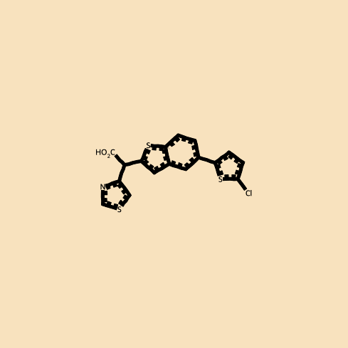 O=C(O)C(c1cscn1)c1cc2cc(-c3ccc(Cl)s3)ccc2s1